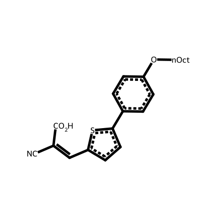 CCCCCCCCOc1ccc(-c2ccc(C=C(C#N)C(=O)O)s2)cc1